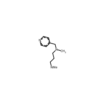 CNCCCN(C)Cc1ccncc1